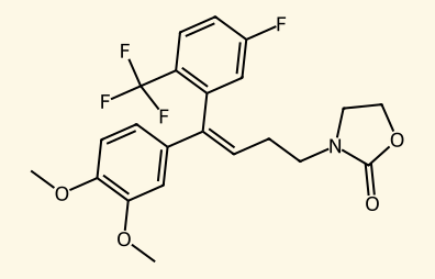 COc1ccc(C(=CCCN2CCOC2=O)c2cc(F)ccc2C(F)(F)F)cc1OC